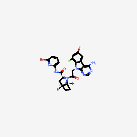 Nc1ncnc2c1c1cc(Br)cc(F)c1n2CC(=O)N1[C@@H]2CC[C@@H]2C[C@H]1C(=O)Nc1cccc(Br)n1